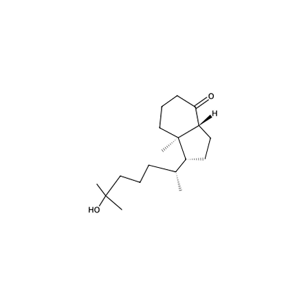 C[C@H](CCCC(C)(C)O)[C@H]1CC[C@H]2C(=O)CCC[C@]12C